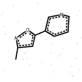 Cc1cc(-c2cccnc2)on1